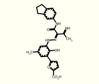 CC(=N)/C(=N/Nc1cc(C)cc(-c2ccc(C(=O)O)o2)c1O)C(=O)Nc1ccc2c(c1)CCC2